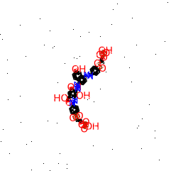 O=C(O)c1cc(O)c(N=Nc2ccc(N=Nc3ccc(S(=O)(=O)CCOS(=O)(=O)O)cc3)c3cc(O)ccc23)c(O)c1N=Nc1ccc(S(=O)(=O)CCOS(=O)(=O)O)cc1